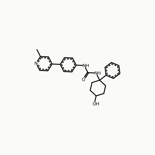 Cc1cc(-c2ccc(NC(=O)NC3(c4ccccc4)CCC(O)CC3)cc2)ccn1